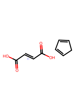 C1=CCC=C1.O=C(O)/C=C/C(=O)O